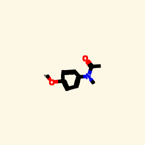 [CH2]Oc1ccc(N(C)C(C)=O)cc1